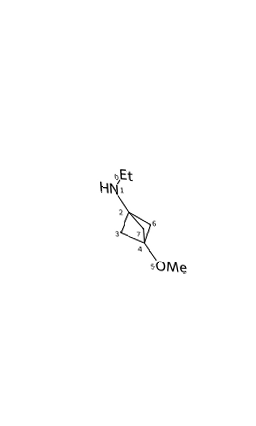 CCNC12CC(OC)(C1)C2